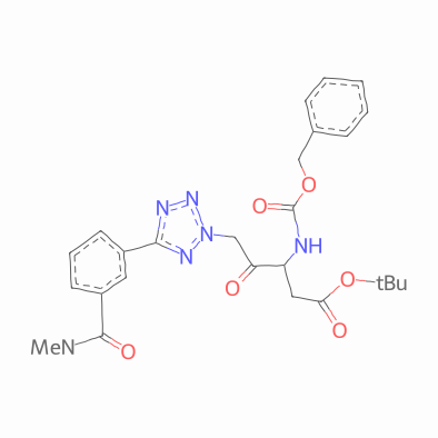 CNC(=O)c1cccc(-c2nnn(CC(=O)C(CC(=O)OC(C)(C)C)NC(=O)OCc3ccccc3)n2)c1